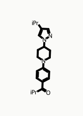 CC(C)C(=O)c1ccc(N2CCC(n3cc(C(C)C)cn3)CC2)cc1